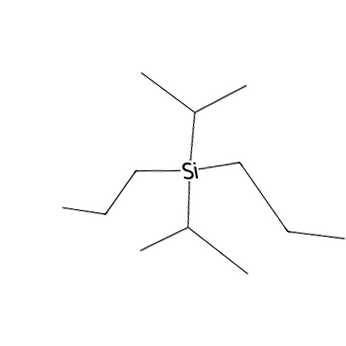 CCC[Si](CCC)(C(C)C)C(C)C